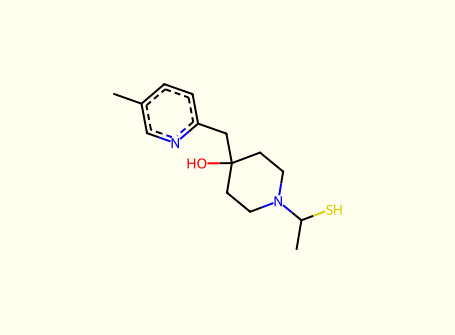 Cc1ccc(CC2(O)CCN(C(C)S)CC2)nc1